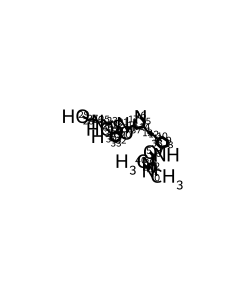 Cc1cc(C(=O)Nc2cccc(C#Cc3cncc(C(=O)N=S(CCCNCCO)c4ccccc4O)c3)c2)n(C)n1